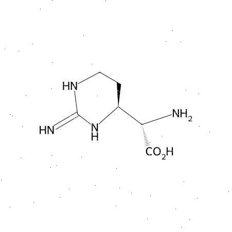 N=C1NCC[C@@H]([C@H](N)C(=O)O)N1